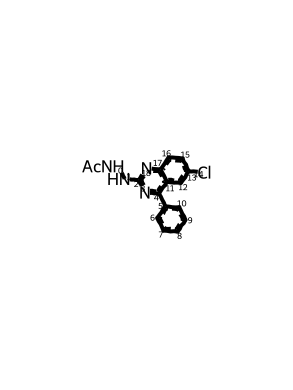 CC(=O)NNc1nc(-c2ccccc2)c2cc(Cl)ccc2n1